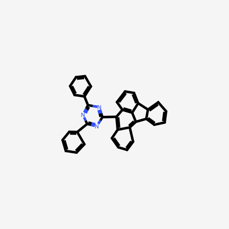 c1ccc(-c2nc(-c3ccccc3)nc(-c3c4ccccc4c4c5c(cccc35)-c3ccccc3-4)n2)cc1